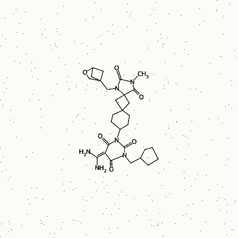 CN1C(=O)N(CC23COC(C2)C3)C2(CC3(CCC(N4C(=O)C(=C(N)N)C(=O)N(CC5CCCC5)C4=O)CC3)C2)C1=O